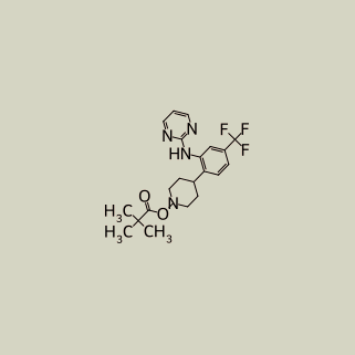 CC(C)(C)C(=O)ON1CCC(c2ccc(C(F)(F)F)cc2Nc2ncccn2)CC1